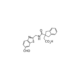 O=Cc1ccc2nc(CNC(=O)C3(CC(=O)O)Cc4ccccc4C3)sc2c1